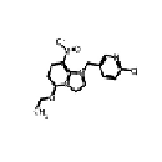 CCOC1CCC([N+](=O)[O-])=C2N(Cc3ccc(Cl)nc3)CCN21